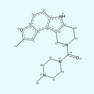 Cc1cc2c(ccc3[nH]c4c(c32)CN(C(=O)N2CCN(C)CC2)CC4)o1